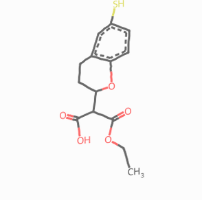 CCOC(=O)C(C(=O)O)C1CCc2cc(S)ccc2O1